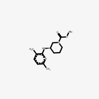 Cc1ccc(C)c(N[C@@H]2CCCN(C(=O)OC(C)(C)C)C2)n1